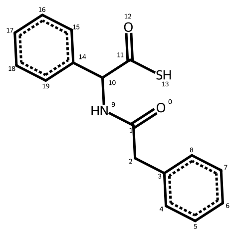 O=C(Cc1ccccc1)NC(C(=O)S)c1ccccc1